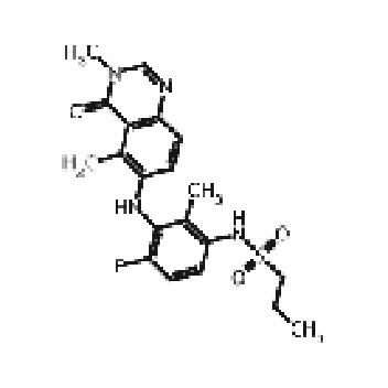 CCCS(=O)(=O)Nc1ccc(F)c(Nc2ccc3ncn(C)c(=O)c3c2C)c1C